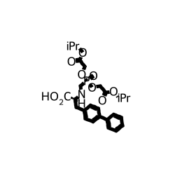 CC(C)OC(=O)COP(=O)(CN[C@@H](Cc1ccc(-c2ccccc2)cc1)C(=O)O)OCC(=O)OC(C)C